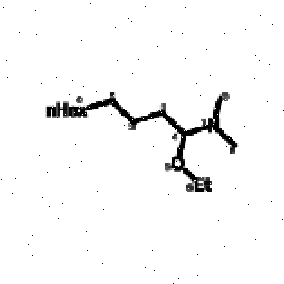 CCCCCCCCCC(OCC)N(C)C